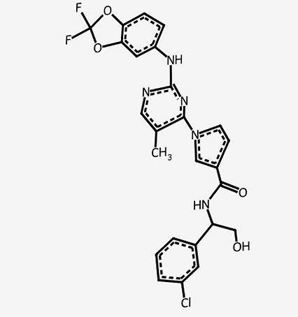 Cc1cnc(Nc2ccc3c(c2)OC(F)(F)O3)nc1-n1ccc(C(=O)NC(CO)c2cccc(Cl)c2)c1